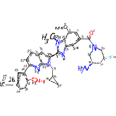 COc1cc(C(=O)N2C[C@H](N)C[C@@H](F)C2)cc2nc(-c3cc4ccc(-c5cc(C#N)ccc5O)nc4n3CC3CC3)n(C)c12